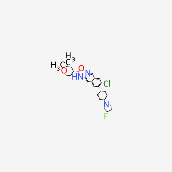 CC1(C)C[C@H](C(=O)Nc2cc3cc([C@H]4CC[C@@H](N5CC[C@H](F)C5)CC4)c(Cl)cc3cn2)CCO1